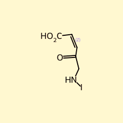 O=C(O)/C=C\C(=O)CNI